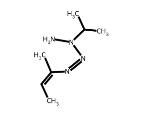 C/C=C(C)\N=N/N(N)C(C)C